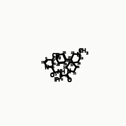 CC(C)[C@@H](NC(=O)c1cc(C(F)(F)F)ccn1)C(=O)N1CCC2(CCN(C)CC2c2ccccc2)CC1